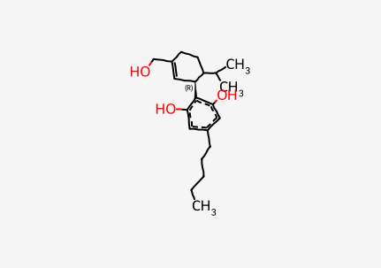 CCCCCc1cc(O)c([C@H]2C=C(CO)CCC2C(C)C)c(O)c1